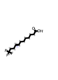 O=C(O)CCCCCC/C=C/CCC(F)(F)F